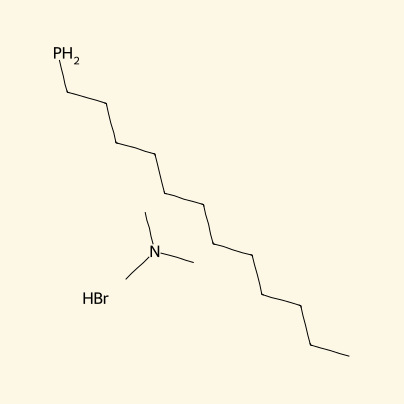 Br.CCCCCCCCCCCCP.CN(C)C